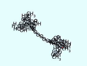 CCC1CC(C(=O)NCCNC(C)=O)C[C@@H](O[C@@H]2OC(CO)[C@H](O)C(O[C@@H](CC3CCCCC3)C(=O)O)C2NC(=O)Cn2cc(COCCOCCOCCOCCOCc3cn(CC(=O)NC4C(O[C@@H](CC5CCCCC5)C(=O)O)[C@@H](O)C(CO)O[C@H]4O[C@@H]4CC(C(=O)NCCNC(C)=O)CC(CC)C4O[C@@H]4OC(C)[C@@H](O)C(O)C4O)nn3)nn2)C1O[C@@H]1OC(C)[C@@H](O)C(O)C1O